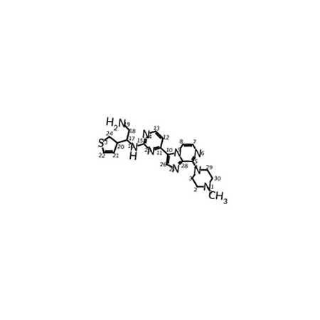 CN1CCN(c2nccn3c(-c4ccnc(NC(CN)C5C=CSC5)n4)cnc23)CC1